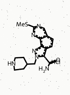 CSc1ncc2ccc3c(C(N)=O)n(CC4CCNCC4)nc3c2n1.Cl